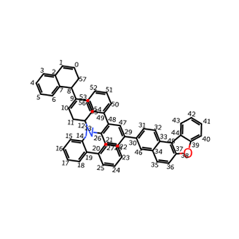 C1=Cc2ccccc2C(C2=CCC(N(c3ccccc3-c3ccccc3)c3ccc(-c4ccc5c(ccc6oc7ccccc7c65)c4)cc3-c3ccccc3)C=C2)C1